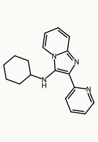 c1ccc(-c2nc3ccccn3c2NC2CCCCC2)nc1